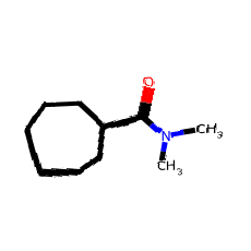 CN(C)C(=O)C1C[CH]CCCC1